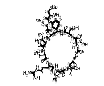 CC(C)C[C@@H]1NC(=O)[C@H]([C@H](O)C(C)C)NC(=O)[C@@H](NC(=O)[C@H](CC(C)(C)C)NC(=O)[C@H](N)CC(C)(C)C)[C@@H](c2ccccc2)NC(=O)C(CO)NC(=O)[C@H](CO)NC(=O)CNC(=O)[C@H]([C@H](C)O)NC(=O)[C@H](C[Si](C)(C)C)NC(=O)[C@@H](CCCNC(=N)N)NC1=O